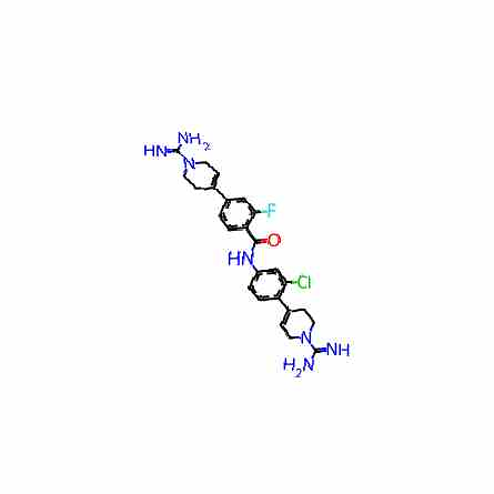 N=C(N)N1CC=C(c2ccc(C(=O)Nc3ccc(C4=CCN(C(=N)N)CC4)c(Cl)c3)c(F)c2)CC1